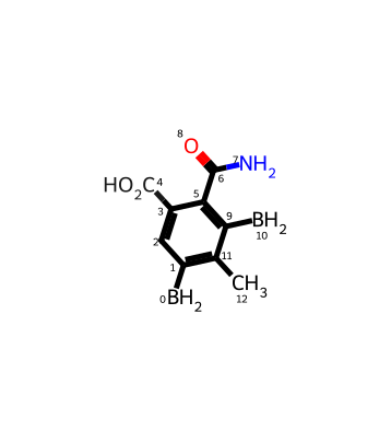 Bc1cc(C(=O)O)c(C(N)=O)c(B)c1C